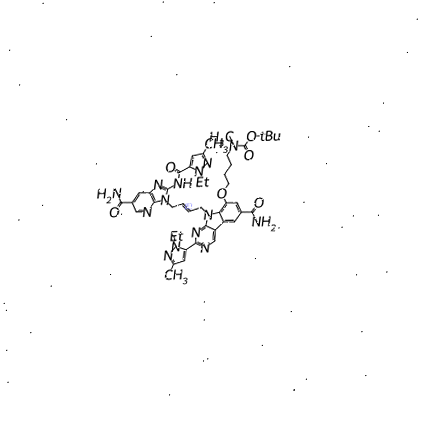 CCn1nc(C)cc1C(=O)Nc1nc2cc(C(N)=O)cnc2n1C/C=C/Cn1c2nc(-c3cc(C)nn3CC)ncc2c2cc(C(N)=O)cc(OCCCCN(C)C(=O)OC(C)(C)C)c21